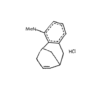 CNc1cccc2c1C1CC=CC(C2)C1.Cl